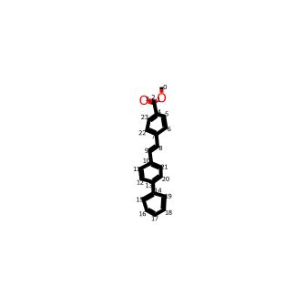 COC(=O)c1ccc(C=Cc2ccc(-c3ccccc3)cc2)cc1